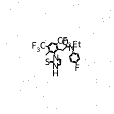 CCN(C(=O)Cc1c(C(F)(F)F)cc(C(F)(F)F)c(C)c1-n1cc[nH]c1=S)c1ccc(F)cc1